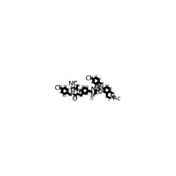 CC(=O)N1CCc2cc(N(Cc3ccc(Cl)cc3)S(=O)(=O)c3cn(C)c(-c4ccc5c(c4)CC(C(=O)NCc4ccc(Cl)cc4)N5C(=O)CC#N)n3)ccc2C1